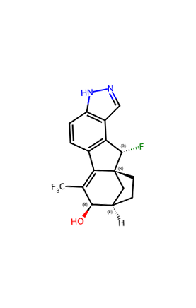 O[C@H]1C(C(F)(F)F)=C2c3ccc4[nH]ncc4c3[C@H](F)[C@@]23CC[C@@H]1C3